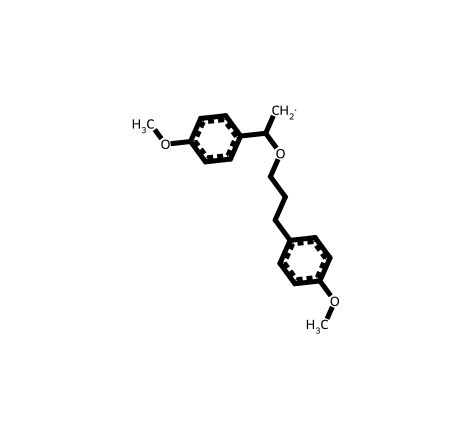 [CH2]C(OCCCc1ccc(OC)cc1)c1ccc(OC)cc1